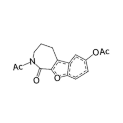 CC(=O)Oc1ccc2oc3c(c2c1)CCCN(C(C)=O)C3=O